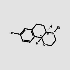 CCN1CCO[C@@H]2c3ccc(O)cc3CC[C@H]21